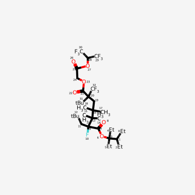 CCC(CC)C(CC)(CC)OC(=O)C(F)(CC(C)(C)C)C(C)(C)C(C)(C)CC(C(=O)OCC(=O)OC(C(F)(F)F)C(F)(F)F)(C(C)(C)C)C(F)(F)F